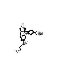 C=CCNC1CCN(C[C@@H]2CNC[C@]2(O)c2ccc(OC)cc2)CC1